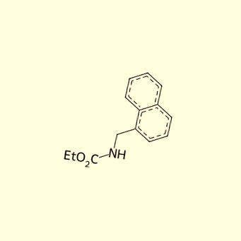 CCOC(=O)NCc1cccc2ccccc12